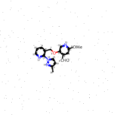 COc1cc(C=O)c(OCc2cccnc2-n2ccc(C)n2)cn1